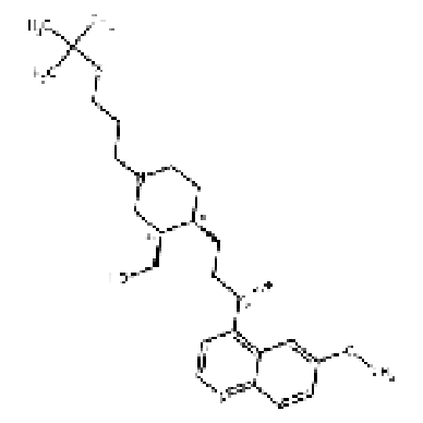 COc1ccc2nccc([C@@H](F)CC[C@@H]3CCN(CCCSC(C)(C)C)C[C@@H]3CO)c2c1